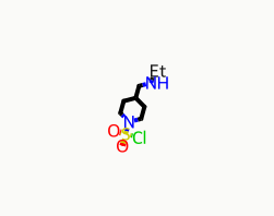 CCNCC1CCN(S(=O)(=O)Cl)CC1